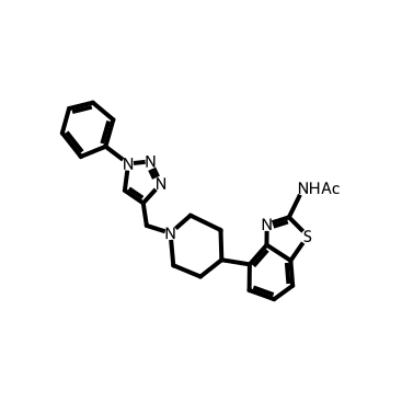 CC(=O)Nc1nc2c(C3CCN(Cc4cn(-c5ccccc5)nn4)CC3)cccc2s1